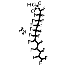 CNC.O=S(=O)(O)C(F)C(F)(F)C(F)(F)C(F)(F)C(F)(F)C(F)(F)C(F)C(F)C(F)C(F)C(F)C(F)F